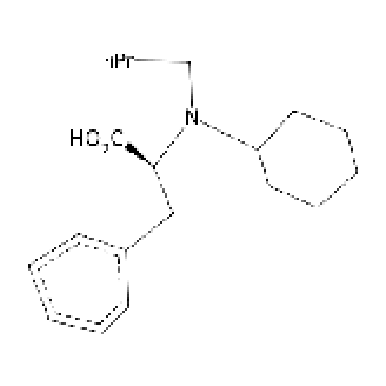 C[C](C)CN(C1CCCCC1)[C@@H](Cc1ccccc1)C(=O)O